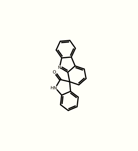 O=C1Nc2ccccc2C12C=CC=C1C2=Nc2ccccc21